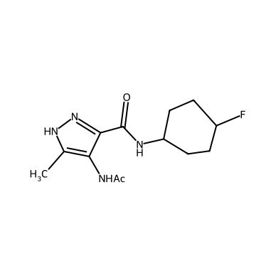 CC(=O)Nc1c(C(=O)NC2CCC(F)CC2)n[nH]c1C